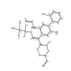 CC1CN(C=O)CCN1/C(=N/CC(C)(C)C(F)(F)F)c1cc(Cl)c(-c2ccccc2F)nc1NC=O